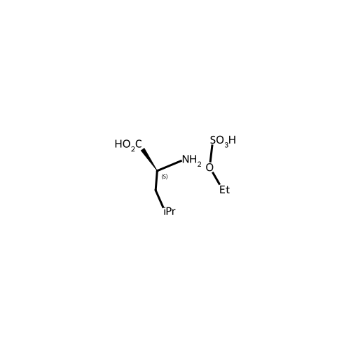 CC(C)C[C@H](N)C(=O)O.CCOS(=O)(=O)O